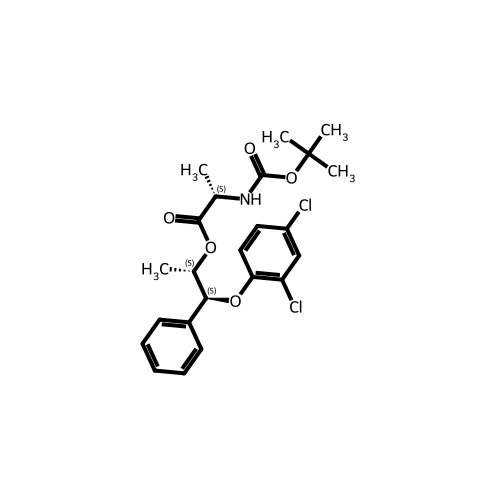 C[C@H](NC(=O)OC(C)(C)C)C(=O)O[C@@H](C)[C@@H](Oc1ccc(Cl)cc1Cl)c1ccccc1